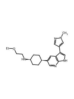 CCOCCN[C@H]1CC[C@@H](c2cnc3[nH]cc(-c4cnn(C)c4)c3c2)CC1